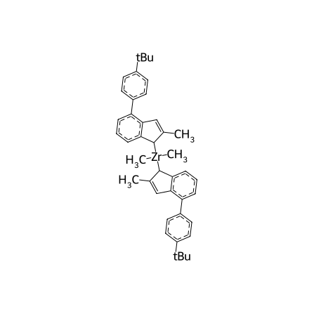 CC1=Cc2c(-c3ccc(C(C)(C)C)cc3)cccc2[CH]1[Zr]([CH3])([CH3])[CH]1C(C)=Cc2c(-c3ccc(C(C)(C)C)cc3)cccc21